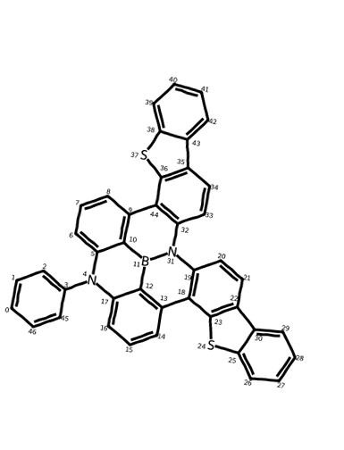 c1ccc(N2c3cccc4c3B3c5c(cccc52)-c2c(ccc5c2sc2ccccc25)N3c2ccc3c(sc5ccccc53)c2-4)cc1